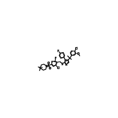 COc1cc(C(C)(C)c2cnc(SCc3c(F)cc(S(=O)(=O)N4CC[N+](C)(C)CC4)cc3Cl)n2-c2ccc(F)cc2)ccc1Cl